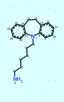 NCCCCCCN1c2ccccc2CCc2ccccc21